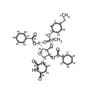 CCc1ccc(OP(C)(=O)O[C@H]2[C@@H](OC(=O)c3ccccc3)[C@H](n3ccc(=O)[nH]c3=O)O[C@@H]2COC(=O)c2ccccc2)cc1